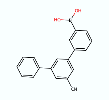 N#Cc1cc(-c2ccccc2)cc(-c2cccc(B(O)O)c2)c1